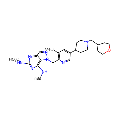 CCCCNc1nc(NC(=O)O)nc2cnn(Cc3ncc(C4CCN(CC5CCOCC5)CC4)cc3OC)c12